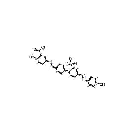 O=C(O)c1cc(/N=N/c2ccc(-c3ccc(/N=N/c4ccc(O)cc4)cc3S(=O)(=O)O)cc2)ccc1O